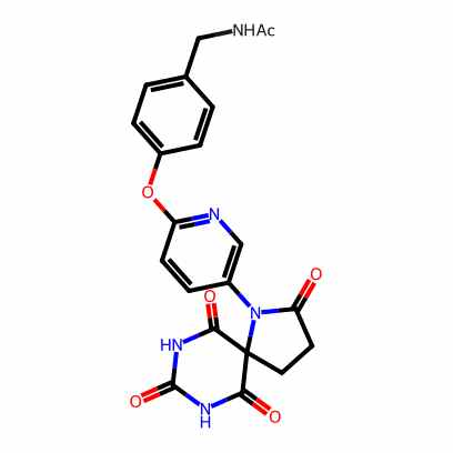 CC(=O)NCc1ccc(Oc2ccc(N3C(=O)CCC34C(=O)NC(=O)NC4=O)cn2)cc1